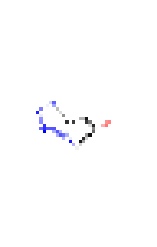 Oc1ccn2nnnc2c1